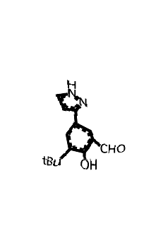 CC(C)(C)c1cc(-c2cc[nH]n2)cc(C=O)c1O